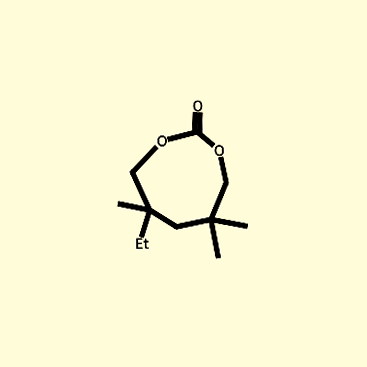 CCC1(C)COC(=O)OCC(C)(C)C1